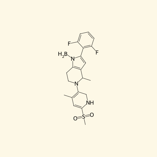 Bn1c(-c2c(F)cccc2F)cc2c1CCN(C1=C(C)C=C(S(C)(=O)=O)NC1)C2C